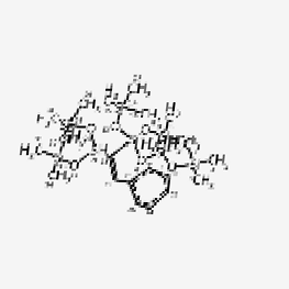 C[Si](C)(C)O[SiH2]O[Si](O[Si](C)(C)C)(O[Si](C)(C)C)C(=Cc1ccccc1)[SiH](O[Si](C)(C)C)O[Si](C)(C)C